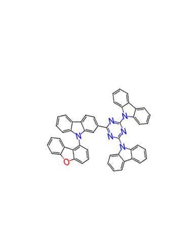 c1ccc2c(c1)oc1cccc(-n3c4ccccc4c4ccc(-c5nc(-n6c7ccccc7c7ccccc76)nc(-n6c7ccccc7c7ccccc76)n5)cc43)c12